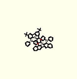 CC(C)(C)c1cc(N(c2ccccc2)c2ccccc2)c2c(c1)c1cc(C(C)(C)C)cc3c4cc5c(nc4n2c31)c1c2ccccc2cc2c3cc4ccccc4c(N(c4ccccc4)c4ccccc4)c3n5c21